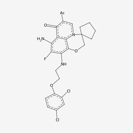 CC(=O)c1cn2c3c(c(NCCOc4ccc(Cl)cc4Cl)c(F)c(N)c3c1=O)OCC21CCCC1